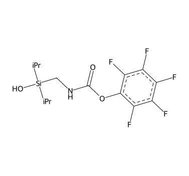 CC(C)[Si](O)(CNC(=O)Oc1c(F)c(F)c(F)c(F)c1F)C(C)C